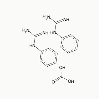 N=C(N)Nc1ccccc1.N=C(N)Nc1ccccc1.O=C(O)O